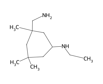 CCNC1CC(C)(C)CC(C)(CN)C1